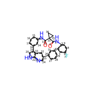 O=C(Nc1ccc(F)cc1)C1(C(=O)Nc2cccc(-c3c[nH]c4ncc(-c5ccccc5)cc34)c2)CC1